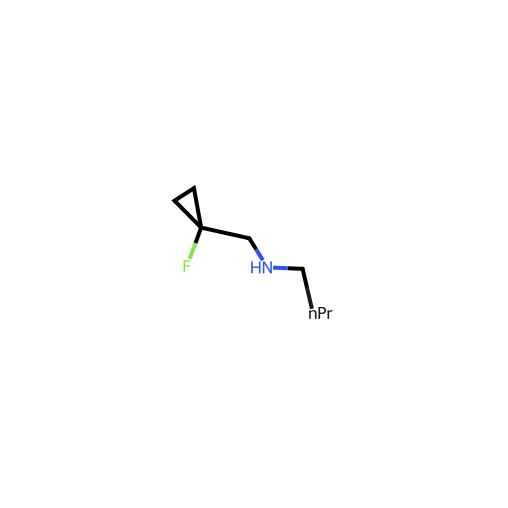 CCCCNCC1(F)CC1